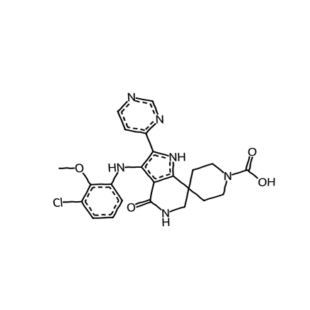 COc1c(Cl)cccc1Nc1c(-c2ccncn2)[nH]c2c1C(=O)NCC21CCN(C(=O)O)CC1